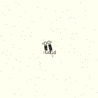 [O]=[Gd].[O]=[Gd]